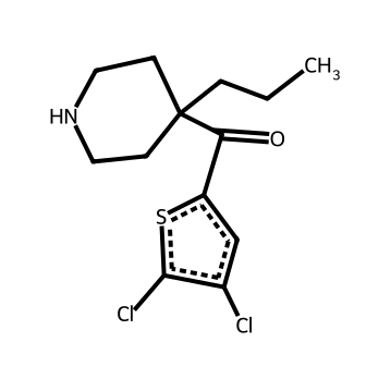 CCCC1(C(=O)c2cc(Cl)c(Cl)s2)CCNCC1